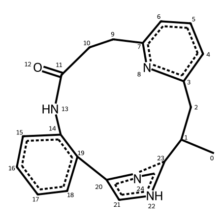 CC1Cc2cccc(n2)CCC(=O)Nc2ccccc2-c2c[nH]c1n2